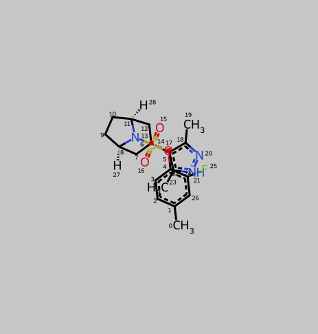 Cc1ccc(O[C@@H]2C[C@H]3CC[C@@H](C2)N3S(=O)(=O)c2c(C)n[nH]c2C)c(F)c1